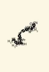 Cc1ncsc1-c1ccc([C@H](C)NC(=O)[C@@H]2CC(O)CN2C(=O)[C@H](C(C)C)N2Cc3cc(OCCN4CCN(c5ccc(C(=O)N[C@H]6C(C)(C)[C@H](Oc7ccc(C#N)c(Cl)c7)C6(C)C)cn5)CC4)ccc3C2=O)cc1